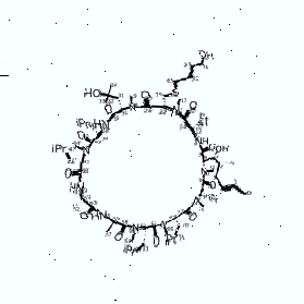 C/C=C/C[C@@H](C)[C@@H](O)[C@H]1C(=O)N[C@@H](CC)C(=O)N(C)[C@@H](CSCCCCO)C(=O)N(C)[C@@H](CC(C)(C)O)C(=O)N[C@@H](C(C)C)C(=O)N(C)[C@@H](CC(C)C)C(=O)N[C@@H](C)C(=O)N[C@H](C)C(=O)N(C)[C@@H](CC(C)C)C(=O)N(C)[C@@H](CC(C)C)C(=O)N(C)[C@@H](C(C)C)C(=O)N1C